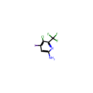 Nc1cc(I)c(Cl)c(C(F)(F)F)n1